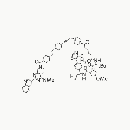 CNc1nc(-c2cnc3ccccc3c2)nc2c1CCN(C(=O)c1ccc(/C=C/c3ccc(C#CCN4CCN(C(=O)CCCCC(=O)N[C@H](C(=O)N5C[C@H](OC)C[C@H]5C(=O)N[C@@H](C)c5ccc(-c6scnc6C)cc5)C(C)(C)C)CC4)cc3)cc1)C2